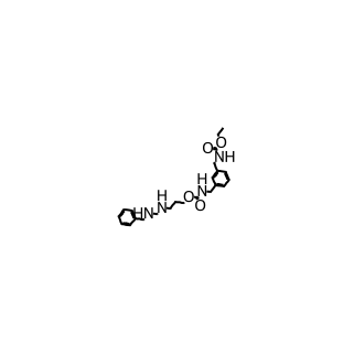 CCOC(=O)NCc1cccc(CNC(=O)OCCCNCNCc2ccccc2)c1